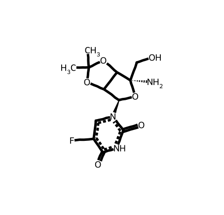 CC1(C)OC2C(O1)[C@@](N)(CO)O[C@H]2n1cc(F)c(=O)[nH]c1=O